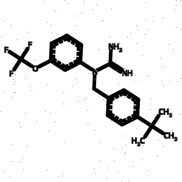 CC(C)(C)c1ccc(CN(C(=N)N)c2cccc(OC(F)(F)F)c2)cc1